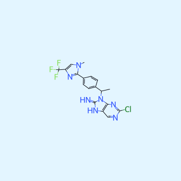 CC(c1ccc(-c2nc(C(F)(F)F)cn2C)cc1)n1c(=N)[nH]c2cnc(Cl)nc21